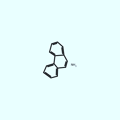 N.c1ccc2c(c1)ccc1ccccc12